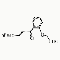 CCCCCC=CC(=O)c1ccccc1OCC=O